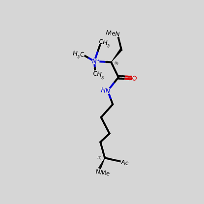 CNC[C@@H](C(=O)NCCCC[C@H](NC)C(C)=O)[N+](C)(C)C